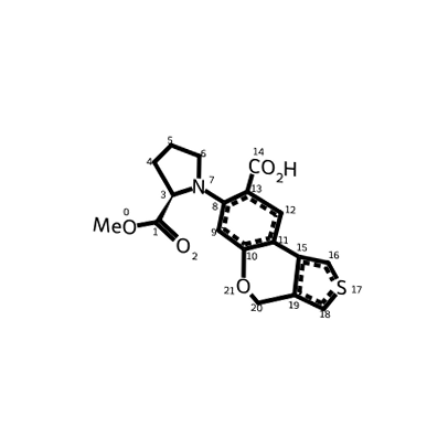 COC(=O)[C@H]1CCCN1c1cc2c(cc1C(=O)O)-c1cscc1CO2